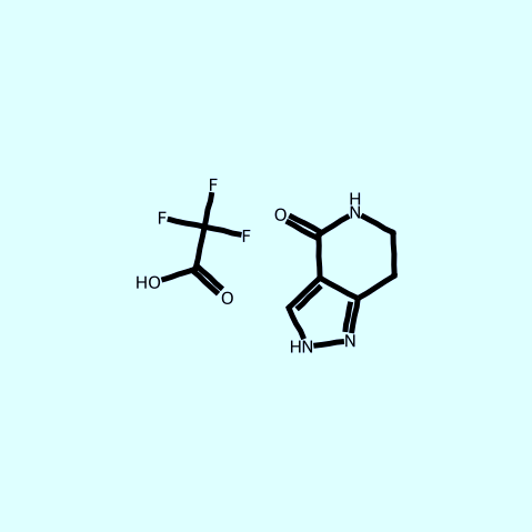 O=C(O)C(F)(F)F.O=C1NCCc2n[nH]cc21